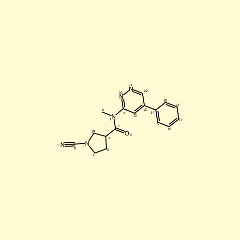 CN(C(=O)C1CCN(C#N)C1)c1cc(-c2ccccc2)cnn1